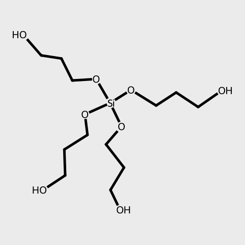 OCCCO[Si](OCCCO)(OCCCO)OCCCO